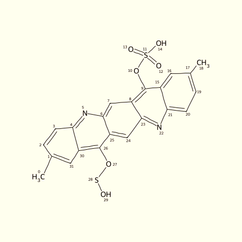 Cc1ccc2nc3cc4c(OS(=O)(=O)O)c5cc(C)ccc5nc4cc3c(OSO)c2c1